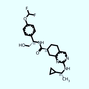 C[C@@H](Nc1ncc2c(n1)C[C@@H](C(=O)N[C@H](CO)c1ccc(OC(F)F)cc1)CC2)C1CC1